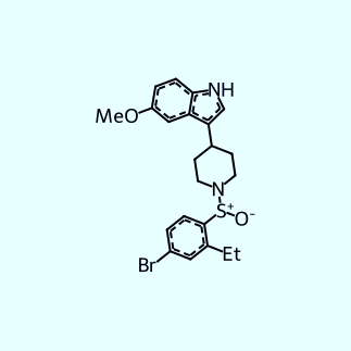 CCc1cc(Br)ccc1[S+]([O-])N1CCC(c2c[nH]c3ccc(OC)cc23)CC1